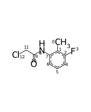 Cc1c(F)cccc1NC(=O)CCl